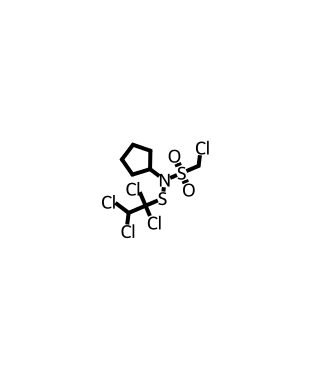 O=S(=O)(CCl)N(SC(Cl)(Cl)C(Cl)Cl)C1CCCC1